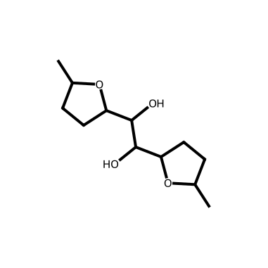 CC1CCC(C(O)C(O)C2CCC(C)O2)O1